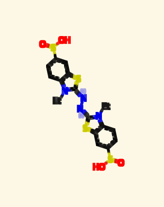 CCn1/c(=N\N=c2\sc3cc(S(=O)O)ccc3n2CC)sc2cc(S(=O)O)ccc21